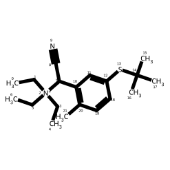 CC[N+](CC)(CC)C(C#N)c1cc(SC(C)(C)C)ccc1C